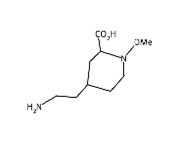 CON1CCC(CCN)CC1C(=O)O